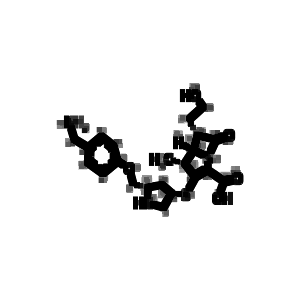 C[C@H]1C(S[C@@H]2CN[C@H](COc3ccc(CN)cc3)C2)=C(C(=O)O)N2C(=O)[C@@H](CCO)[C@@H]12